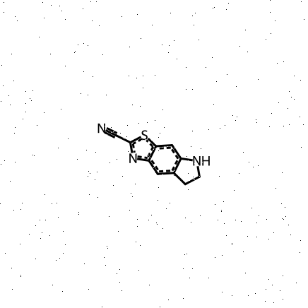 N#Cc1nc2cc3c(cc2s1)NCC3